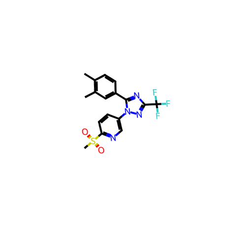 Cc1ccc(-c2nc(C(F)(F)F)nn2-c2ccc(S(C)(=O)=O)nc2)cc1C